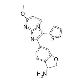 COc1ccn2c(-c3cccs3)c(-c3ccc4c(c3)OC[C@@H]4N)nc2n1